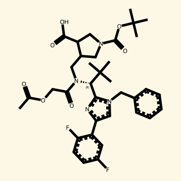 CC(=O)OCC(=O)N(CC1CN(C(=O)OC(C)(C)C)CC1C(=O)O)[C@@H](c1nc(-c2cc(F)ccc2F)cn1Cc1ccccc1)C(C)(C)C